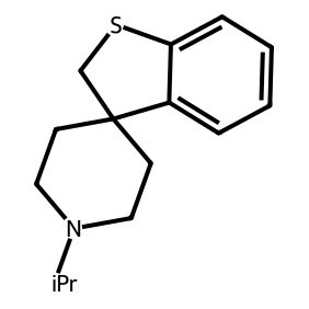 CC(C)N1CCC2(CC1)CSc1ccccc12